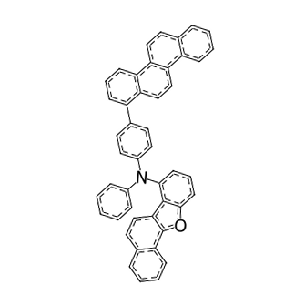 c1ccc(N(c2ccc(-c3cccc4c3ccc3c5ccccc5ccc43)cc2)c2cccc3oc4c5ccccc5ccc4c23)cc1